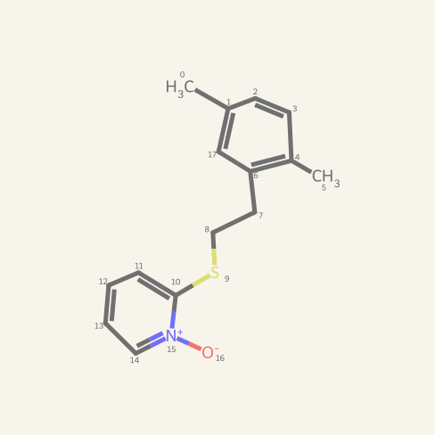 Cc1ccc(C)c(CCSc2cccc[n+]2[O-])c1